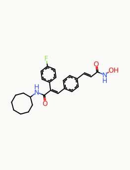 O=C(C=Cc1ccc(C=C(C(=O)NC2CCCCCCC2)c2ccc(F)cc2)cc1)NO